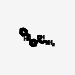 NCCC(O)c1cccc(NCc2ccccc2)c1